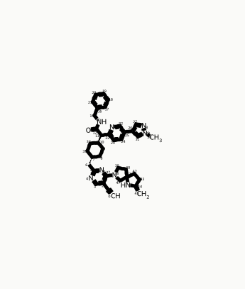 C#Cc1cnc(C[C@H]2CC[C@H](C(C(=O)NCc3ccccc3)c3ccc(-c4cnn(C)c4)cn3)CC2)nc1N1CCC2(CCC(=C)N2)C1